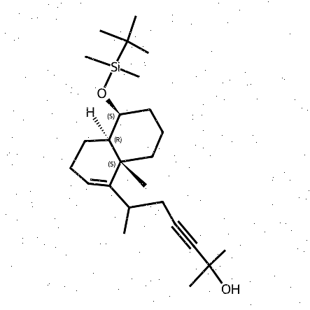 CC(CC#CC(C)(C)O)C1=CCC[C@H]2[C@@H](O[Si](C)(C)C(C)(C)C)CCC[C@]12C